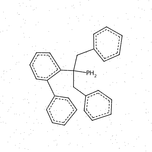 PC(Cc1ccccc1)(Cc1ccccc1)c1ccccc1-c1ccccc1